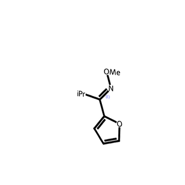 CO/N=C(/c1ccco1)C(C)C